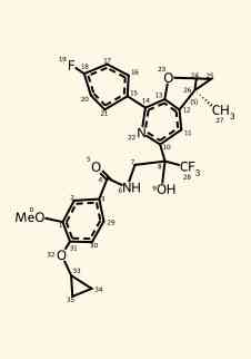 COc1cc(C(=O)NCC(O)(c2cc3c(c(-c4ccc(F)cc4)n2)OC2C[C@@]32C)C(F)(F)F)ccc1OC1CC1